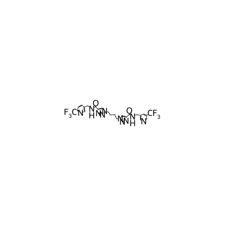 O=C(NCc1ccc(C(F)(F)F)nc1)c1cn(CCCCn2cc(C(=O)NCc3cncc(C(F)(F)F)c3)nn2)nn1